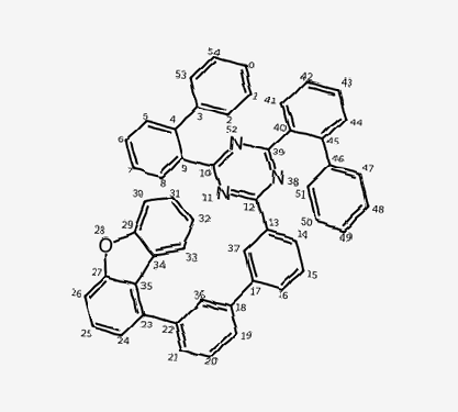 c1ccc(-c2ccccc2-c2nc(-c3cccc(-c4cccc(-c5cccc6oc7ccccc7c56)c4)c3)nc(-c3ccccc3-c3ccccc3)n2)cc1